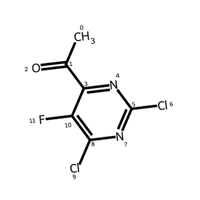 CC(=O)c1nc(Cl)nc(Cl)c1F